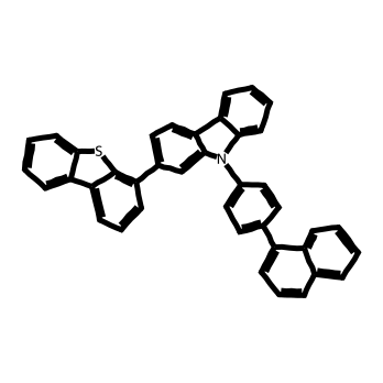 c1ccc2c(-c3ccc(-n4c5ccccc5c5ccc(-c6cccc7c6sc6ccccc67)cc54)cc3)cccc2c1